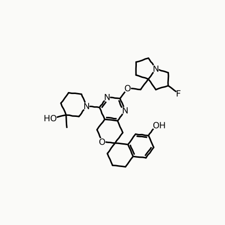 CC1(O)CCCN(c2nc(OCC34CCCN3CC(F)C4)nc3c2COC2(CCCc4ccc(O)cc42)C3)C1